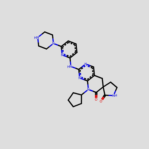 O=C1NCCC12Cc1cnc(Nc3cccc(N4CCNCC4)n3)nc1N(C1CCCC1)C2=O